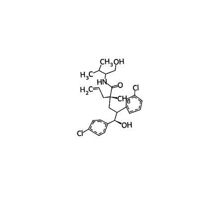 C=CC[C@@](C)(CC(c1cccc(Cl)c1)[C@@H](O)c1ccc(Cl)cc1)C(=O)NC(CO)C(C)C